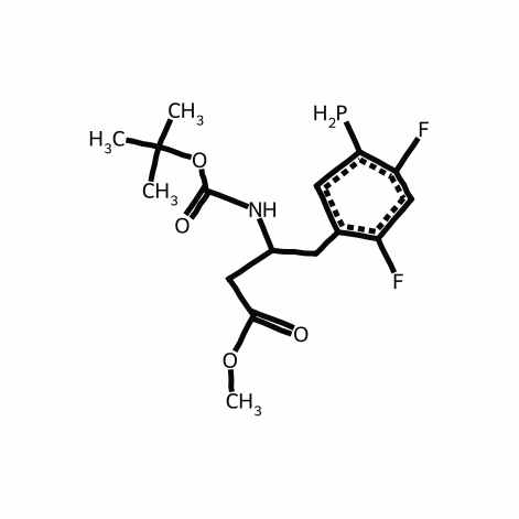 COC(=O)CC(Cc1cc(P)c(F)cc1F)NC(=O)OC(C)(C)C